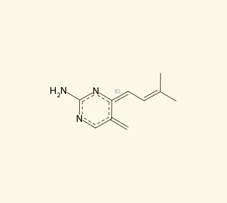 C=c1cnc(N)n/c1=C/C=C(C)C